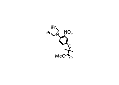 COC(=O)C(C)(C)Oc1ccc(N(CC(C)C)CC(C)C)c([N+](=O)[O-])c1